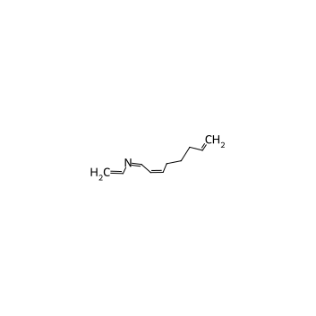 C=CCCC/C=C\C=N/C=C